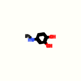 CC(C)Nc1ccc(O)c(O)c1